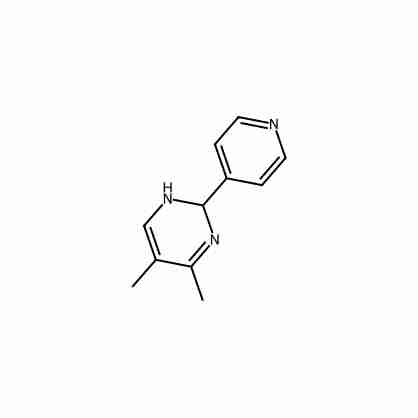 CC1=CNC(c2ccncc2)N=C1C